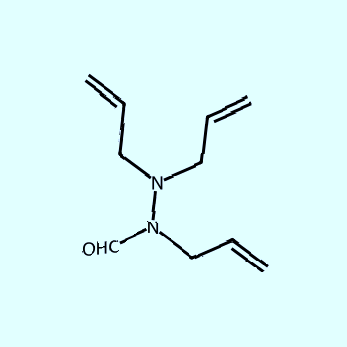 C=CCN(C=O)N(CC=C)CC=C